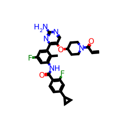 C=CC(=O)N1CCC(Oc2cnc(N)nc2-c2cc(F)cc(NC(=O)c3ccc(C4CC4)cc3F)c2C)CC1